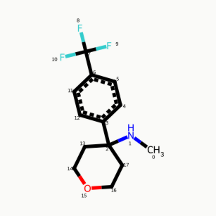 CNC1(c2ccc(C(F)(F)F)cc2)CCOCC1